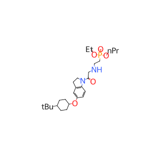 CCCOP(=O)(CCNCC(=O)N1CCc2cc(OC3CCC(C(C)(C)C)CC3)ccc21)OCC